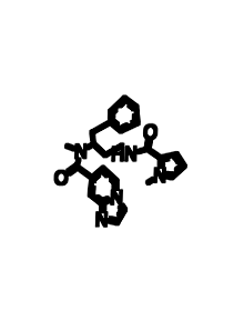 CN(C(=O)c1ccn2ccnc2c1)C(CCNC(=O)c1cccn1C)Cc1ccccc1